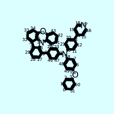 c1ccc(Oc2ccc(N(c3ccc(-c4ccncc4)cc3)c3ccc(-c4cccc5c6cccc7c6n(c45)-c4ccccc4O7)cc3)cc2)cc1